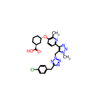 Cc1nc(-c2nnn(C)c2Cn2nnc(Cc3ccc(Cl)cc3)n2)ccc1O[C@H]1CCC[C@H](C(=O)O)C1